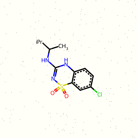 CC(C)C(C)NC1=NS(=O)(=O)c2cc(Cl)ccc2N1